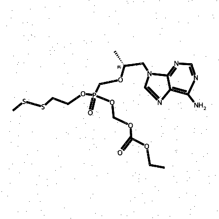 CCOC(=O)OCOP(=O)(CO[C@H](C)Cn1cnc2c(N)ncnc21)OCCSSC